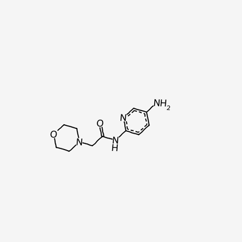 Nc1ccc(NC(=O)CN2CCOCC2)nc1